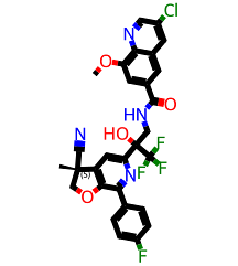 COc1cc(C(=O)NCC(O)(c2cc3c(c(-c4ccc(F)cc4)n2)OC[C@]3(C)C#N)C(F)(F)F)cc2cc(Cl)cnc12